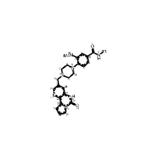 CCNC(=O)c1ccc(N2CCN(Cc3cnc4c(c3)[nH]c(=O)n3cccc43)CC2)c(NC)c1